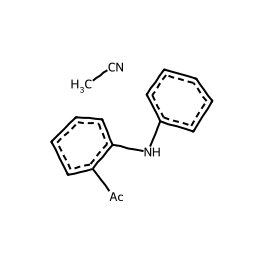 CC#N.CC(=O)c1ccccc1Nc1ccccc1